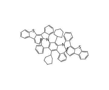 Fc1ccccc1-c1c(C2CCCCC2)c(-c2ccccc2F)c(-n2c3ccccc3c3c4sc5ccccc5c4ccc32)c(C2CCCCC2)c1-n1c2ccccc2c2c3sc4ccccc4c3ccc21